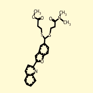 COC(=O)CCSC(SCCC(=O)N(C)C)c1ccc2oc(-c3ccc4ccccc4n3)cc2c1